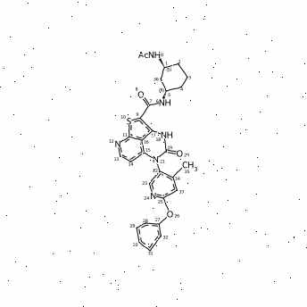 CC(=O)N[C@H]1CCC[C@@H](NC(=O)c2sc3nccc4c3c2NC(=O)N4c2cnc(Oc3ccccc3)cc2C)C1